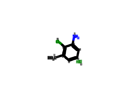 Cl.Nc1cccc(C(=O)O)c1Cl